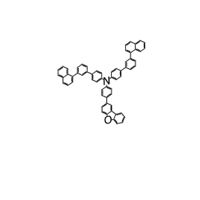 c1cc(-c2ccc(N(c3ccc(-c4cccc(-c5cccc6ccccc56)c4)cc3)c3ccc(-c4ccc5oc6ccccc6c5c4)cc3)cc2)cc(-c2cccc3ccccc23)c1